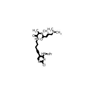 CCCNc1nc(Cl)ncc1C#CCCCNC(=O)C(C)N(C)C(=O)/C=C/CN(C)C